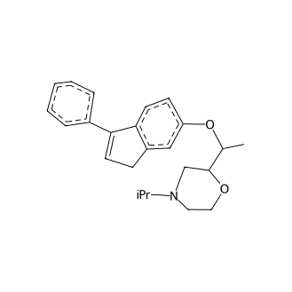 CC(Oc1ccc2c(c1)CC=C2c1ccccc1)C1CN(C(C)C)CCO1